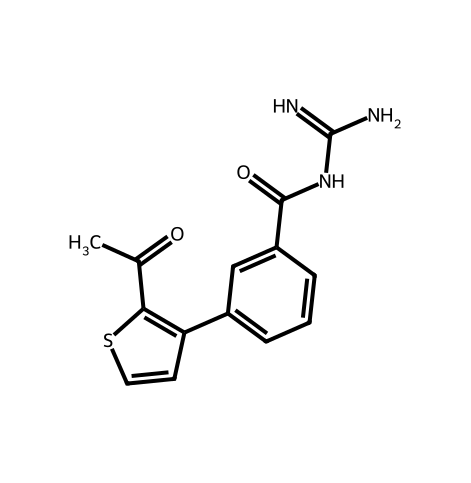 CC(=O)c1sccc1-c1cccc(C(=O)NC(=N)N)c1